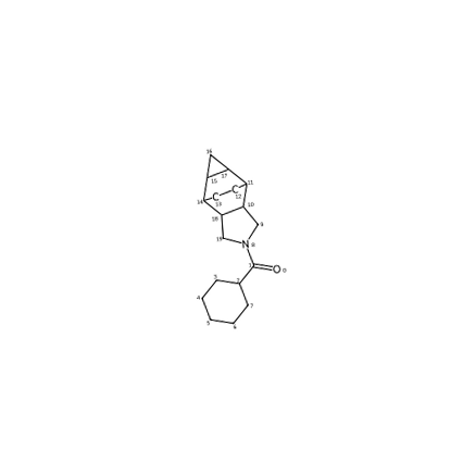 O=C(C1CCCCC1)N1CC2C3CCC(C4CC34)C2C1